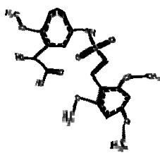 COc1cc(OC)c(C=CS(=O)(=O)Nc2ccc(OC)c(C(O)C(=O)O)c2)c(OC)c1